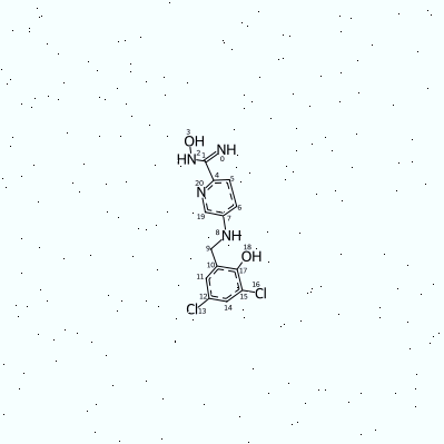 N=C(NO)c1ccc(NCc2cc(Cl)cc(Cl)c2O)cn1